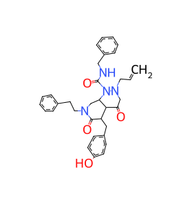 C=CCN1CC(=O)C2C(Cc3ccc(O)cc3)C(=O)N(CCc3ccccc3)CC2N1C(=O)NCc1ccccc1